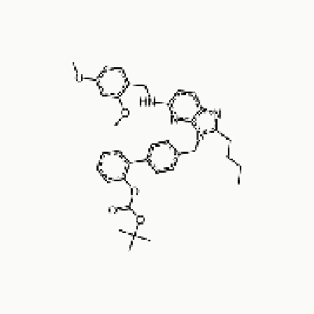 CCCCc1nc2ccc(NCc3ccc(OC)cc3OC)nc2n1Cc1ccc(-c2ccccc2OC(=O)OC(C)(C)C)cc1